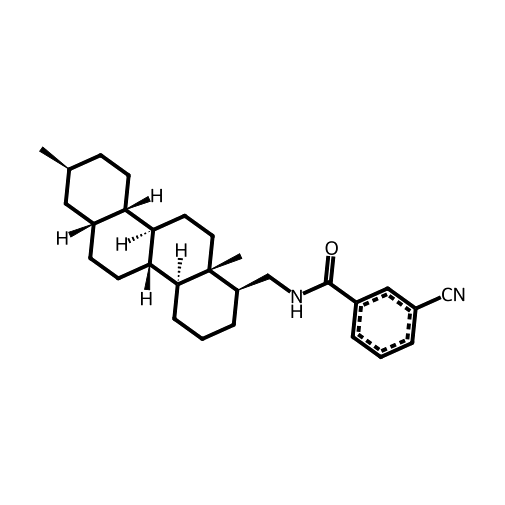 C[C@H]1CC[C@H]2[C@H](CC[C@@H]3[C@@H]2CC[C@]2(C)[C@@H](CNC(=O)c4cccc(C#N)c4)CCC[C@@H]32)C1